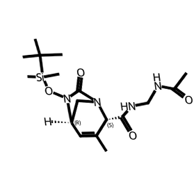 CC(=O)NCNC(=O)[C@@H]1C(C)=C[C@@H]2CN1C(=O)N2O[Si](C)(C)C(C)(C)C